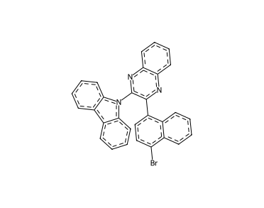 Brc1ccc(-c2nc3ccccc3nc2-n2c3ccccc3c3ccccc32)c2ccccc12